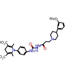 COc1cccc(C2CCN(CCC(=O)NNC(=O)Nc3ccc(N4C(C)=C(C(=O)O)CC(C(=O)O)=C4C)cc3)CC2)c1